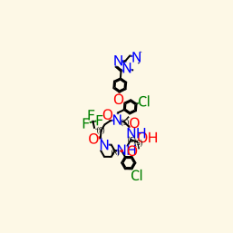 C[C@H](O)[C@@H]1NC(=O)[C@H](C)N(Cc2ccc(Cl)cc2Oc2ccc(-c3cnc(CN(C)C)n3C)cc2)C(=O)C[C@@H](CC(F)(F)F)C(=O)N2CCC[C@@](Cc3ccc(Cl)cc3)(C2)NC1=O